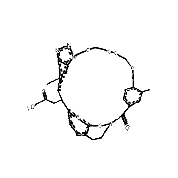 Cc1cc2ccc1OCCCCCn1nnc3c(C)c(ccc31)C(CC(=O)O)c1ccc3c(c1)CN(CC3)C2=O